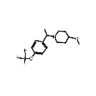 COC1CCN(C(C)c2ccc(OC(F)(F)F)cc2)CC1